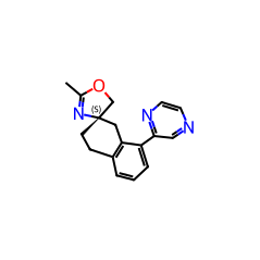 CC1=N[C@]2(CCc3cccc(-c4cnccn4)c3C2)CO1